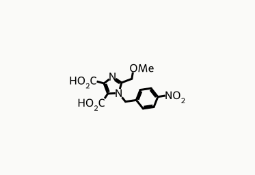 COCc1nc(C(=O)O)c(C(=O)O)n1Cc1ccc([N+](=O)[O-])cc1